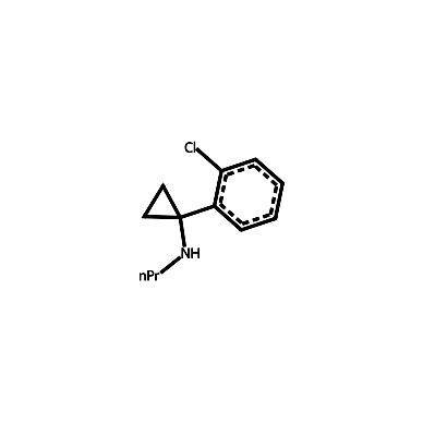 CCCNC1(c2ccccc2Cl)CC1